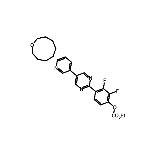 C1CCCCOCCC1.CCOC(=O)Oc1ccc(-c2ncc(-c3cccnc3)cn2)c(F)c1F